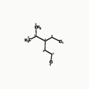 CC(C)C(CCl)CCCl